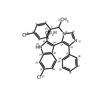 CC(c1ccc(Cl)cc1)n1cnc(-c2ccccc2)c1-c1c(C(=O)O)[nH]c2cc(Cl)ccc12